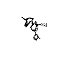 Cc1ccc(-c2cc(-c3cccc(C)c3)nc(S)n2)cc1